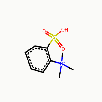 C[N+](C)(C)c1ccccc1S(=O)(=O)O